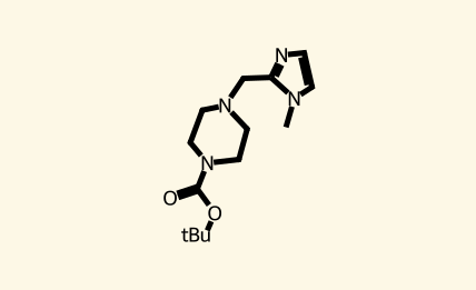 Cn1ccnc1CN1CCN(C(=O)OC(C)(C)C)CC1